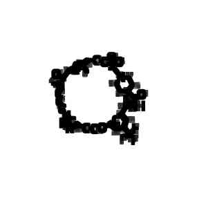 Cc1cc2ccc1CCS(=O)(=O)N1CCC3(CC1)N=C(NC3=O)c1cc(cc(C(F)(F)F)c1)OCCc1cn(nn1)CCCN(C)C2=O